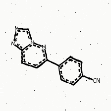 N#Cc1ccc(-c2ccc3nncn3n2)cc1